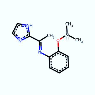 CC(=Nc1ccccc1O[SiH](C)C)c1ncc[nH]1